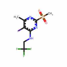 Cc1nc(S(C)(=O)=O)nc(NCC(F)(F)F)c1I